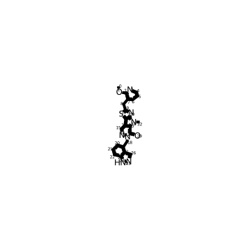 COc1ncccc1Cc1nc2c(s1)c1cnn(Cc3cccc4[nH]ncc34)c(=O)c1n2C